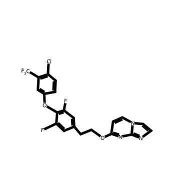 Fc1cc(CCOc2ccn3ccnc3n2)cc(F)c1Oc1ccc(Cl)c(C(F)(F)F)c1